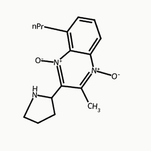 CCCc1cccc2c1[n+]([O-])c(C1CCCN1)c(C)[n+]2[O-]